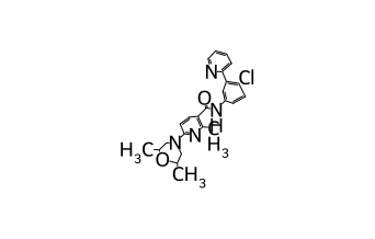 Cc1nc(N2CC(C)OC(C)C2)ccc1C(=O)Nc1ccc(Cl)c(-c2ccccn2)c1